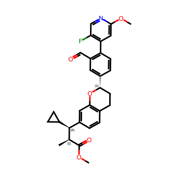 COC(=O)[C@@H](C)[C@H](c1ccc2c(c1)O[C@H](c1ccc(-c3cc(OC)ncc3F)c(C=O)c1)CC2)C1CC1